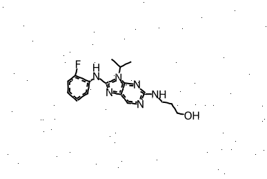 CC(C)n1c(Nc2ccccc2F)nc2cnc(NCCCO)nc21